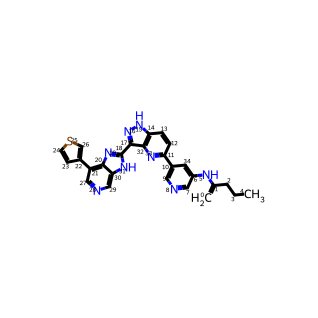 C=C(CCC)Nc1cncc(-c2ccc3[nH]nc(-c4nc5c(-c6ccsc6)cncc5[nH]4)c3n2)c1